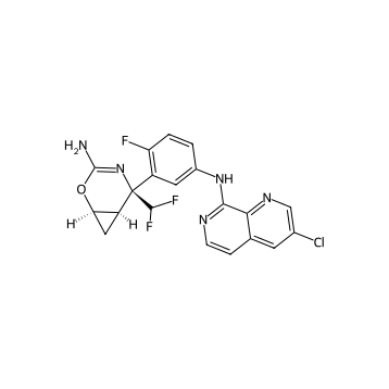 NC1=N[C@@](c2cc(Nc3nccc4cc(Cl)cnc34)ccc2F)(C(F)F)[C@H]2C[C@H]2O1